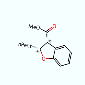 CCCCC[C@H]1Oc2ccccc2[C@H]1C(=O)OC